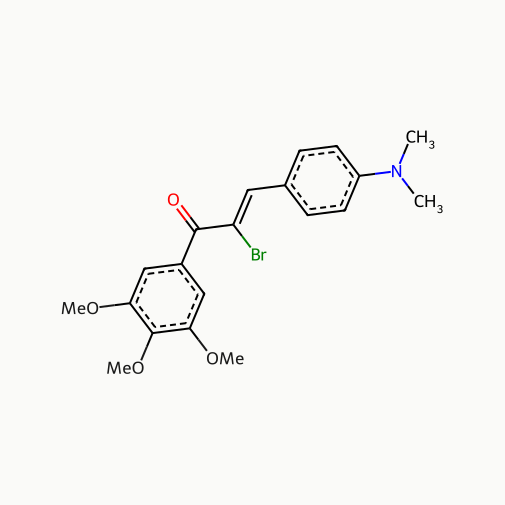 COc1cc(C(=O)C(Br)=Cc2ccc(N(C)C)cc2)cc(OC)c1OC